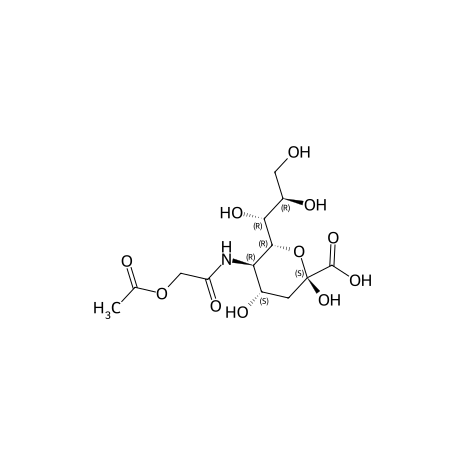 CC(=O)OCC(=O)N[C@H]1[C@H]([C@H](O)[C@H](O)CO)O[C@](O)(C(=O)O)C[C@@H]1O